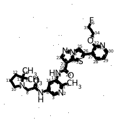 Cc1ncc(NC(=O)CN2CCCC2(C)C)cc1NC(=O)c1cnn2cc(-c3cccnc3OCCF)sc12